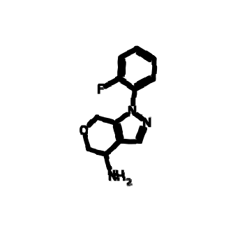 NC1COCc2c1cnn2-c1ccccc1F